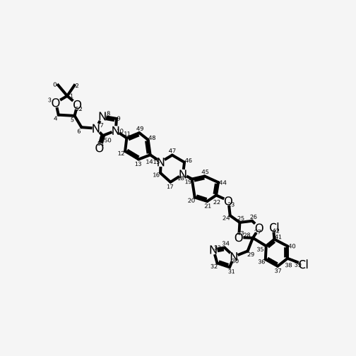 CC1(C)OCC(Cn2ncn(-c3ccc(N4CCN(c5ccc(OCC6COC(Cn7ccnc7)(c7ccc(Cl)cc7Cl)O6)cc5)CC4)cc3)c2=O)O1